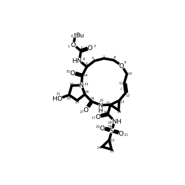 CC(C)(C)OC(=O)NC1CCCOC/C=C/C2CC2(C(=O)NS(=O)(=O)C2CC2)NC(=O)C2CC(O)CN2C1=O